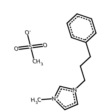 CS(=O)(=O)[O-].C[n+]1ccn(CCCc2ccccc2)c1